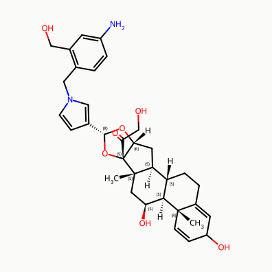 C[C@]12C=CC(O)C=C1CC[C@@H]1[C@@H]2[C@@H](O)C[C@@]2(C)[C@H]1C[C@H]1O[C@@H](c3ccn(Cc4ccc(N)cc4CO)c3)O[C@]12C(=O)CO